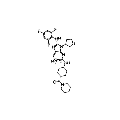 C=C(/N=C1\C(=C/N)N=C(Nc2c(F)cc(F)cc2F)N1[C@H]1CCOC1)N[C@H]1CC[C@H](C(=O)N2CCCCC2)CC1